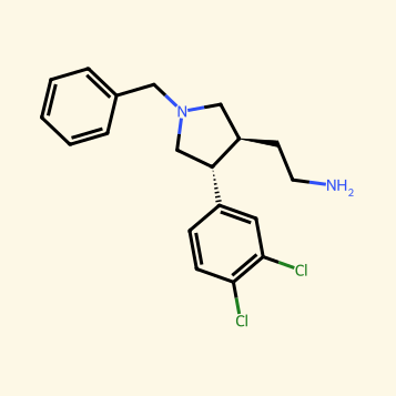 NCC[C@@H]1CN(Cc2ccccc2)C[C@H]1c1ccc(Cl)c(Cl)c1